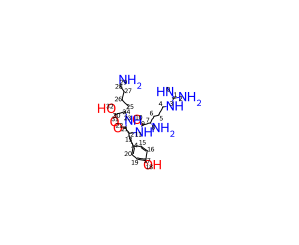 N=C(N)NCCC[C@H](N)C(=O)N[C@@H](Cc1ccc(O)cc1)C(=O)N[C@@H](CCCCN)C(=O)O